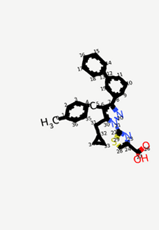 Cc1ccc(Cc2c(-c3cccc(-c4ccccc4)c3)nn(-c3nc(C(=O)O)cs3)c2CC2CC2)cc1